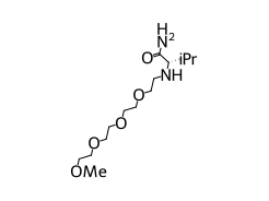 COCCOCCOCCOCCN[C@H](C(N)=O)C(C)C